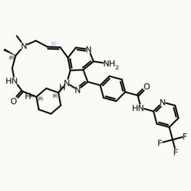 C[C@@H]1CNC(=O)[C@@H]2CCC[C@H](C2)n2nc(-c3ccc(C(=O)Nc4cc(C(F)(F)F)ccn4)cc3)c3c(N)ncc(c32)/C=C/CN1C